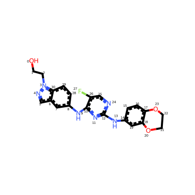 OCCn1ncc2cc(Nc3nc(Nc4ccc5c(c4)OCCO5)ncc3F)ccc21